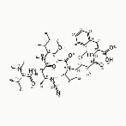 CC[C@H](C)[C@@H]([C@@H](CC(=O)N1CCC[C@H]1[C@H](OC)[C@@H](C)C(=O)N[C@@H](Cc1ccccc1)C(=O)O)OC)N(C)C(=O)[C@@H](NC(=O)[C@H](C(C)C)N(C)C)[C@H](C)N=[N+]=[N-]